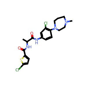 CC(NC(=O)c1ccc(Cl)s1)C(=O)Nc1ccc(N2CCCN(C)CC2)c(Cl)c1